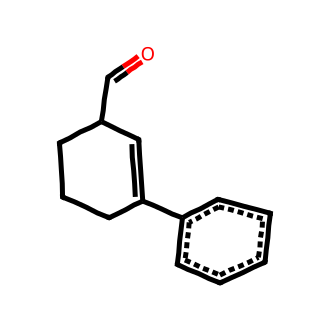 O=CC1C=C(c2ccccc2)CCC1